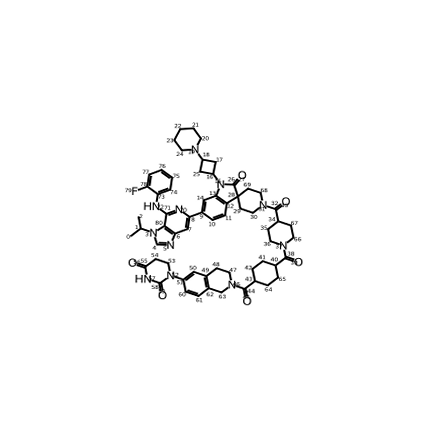 CC(C)n1cnc2cc(-c3ccc4c(c3)N(C3CC(N5CCCCC5)C3)C(=O)C43CCN(C(=O)C4CCN(C(=O)C5CCC(C(=O)N6CCc7cc(N8CCC(=O)NC8=O)ccc7C6)CC5)CC4)CC3)nc(Nc3ccccc3F)c21